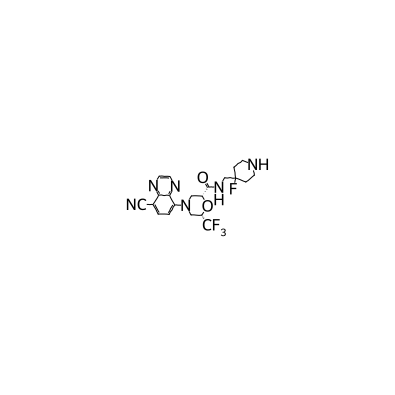 N#Cc1ccc(N2C[C@@H](C(F)(F)F)O[C@@H](C(=O)NCC3(F)CCNCC3)C2)c2nccnc12